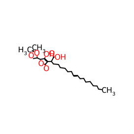 CCCCCCCCC=CCCCCCCC(C(=O)O)C1=C(O)C(C2COC(C)(C)O2)OC1=O